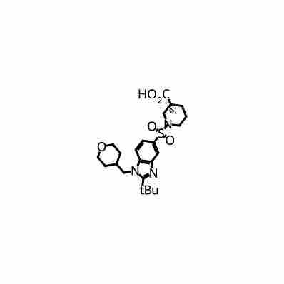 CC(C)(C)c1nc2cc(S(=O)(=O)N3CCC[C@H](C(=O)O)C3)ccc2n1CC1CCOCC1